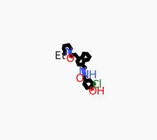 CCC1CCCCN1C(=O)Cc1ccc(/C=N/NC(=O)c2ccc(O)c(Cl)c2)c2ccccc12